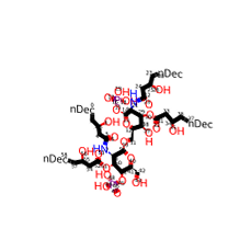 CCCCCCCCCCC[C@@H](O)CC(=O)N[C@@H]1[C@H](OC[C@H]2O[C@H](OP(=O)(O)O)[C@@H](NC(=O)C[C@H](O)CCCCCCCCCCC)[C@@H](OC(=O)C[C@H](O)CCCCCCCCCCC)[C@@H]2O)O[C@H](CO)[C@@H](OP(=O)(O)O)[C@@H]1OC(=O)C[C@H](O)CCCCCCCCCCC